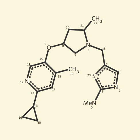 CNc1ncc(CN2CC(Oc3cnc(C4CC4)cc3C)CC2C)s1